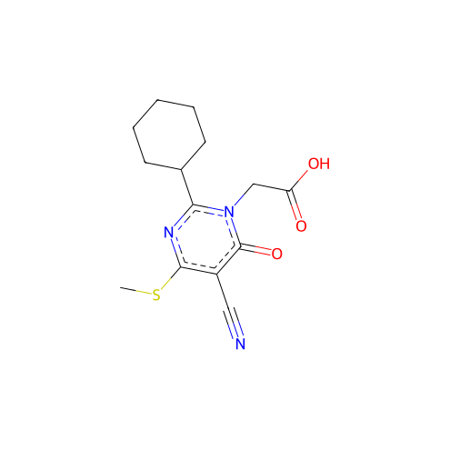 CSc1nc(C2CCCCC2)n(CC(=O)O)c(=O)c1C#N